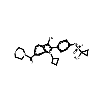 CC1(S(=O)(=O)Nc2ccc(-c3c(C#N)c4ccc(C(=O)N5CCOCC5)cc4n3C3CCC3)cc2)CC1